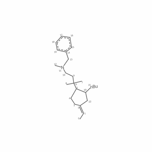 CC=C1CCC(C(C)(C)CCN(C)Cc2ccccc2)C(CCCC)C1